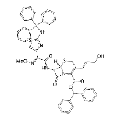 CON=C(C(=O)NC1C(=O)N2C(C(=O)OC(c3ccccc3)c3ccccc3)=C(/C=C/CO)CS[C@@H]12)c1csc(NC(c2ccccc2)(c2ccccc2)c2ccccc2)n1